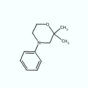 CC1(C)CN(c2cc[c]cc2)CCO1